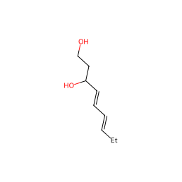 CCC=CC=CC(O)CCO